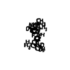 CC(C)Oc1nc(N[C@H]2CC[C@H](N(C(=O)O)C(C)(C)C)CC2)c(F)cc1C(N)=O